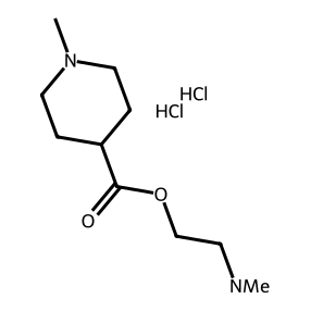 CNCCOC(=O)C1CCN(C)CC1.Cl.Cl